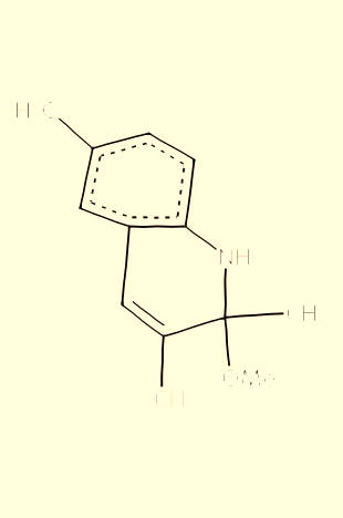 COC1(C)Nc2ccc(C)cc2C=C1C